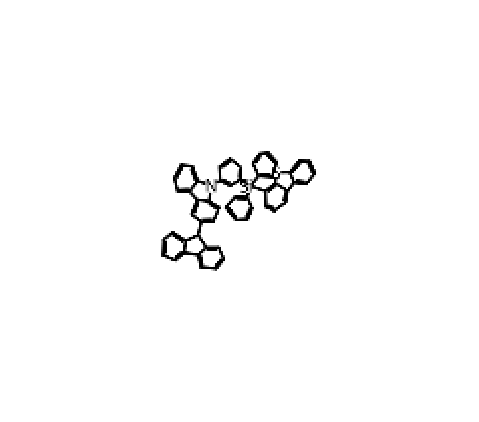 c1ccc([Si](c2ccccc2)(c2cccc(-n3c4ccccc4c4cc(C5c6ccccc6-c6ccccc65)ccc43)c2)c2cccc3c2sc2ccccc23)cc1